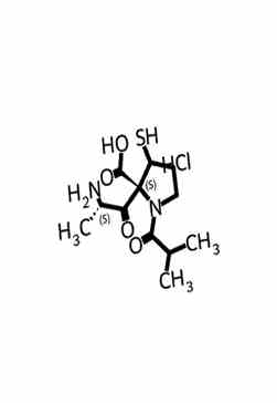 CC(C)C(=O)N1CCC(S)[C@@]1(C(=O)O)C(=O)[C@H](C)N.Cl